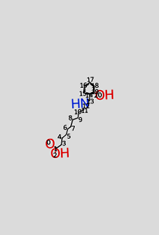 O=C(O)CCCCCCCCCNCc1ccccc1O